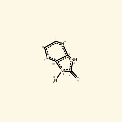 Nn1c(=O)[nH]c2nccnc21